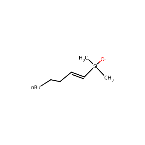 CCCCCC/C=C/[Si](C)(C)[O]